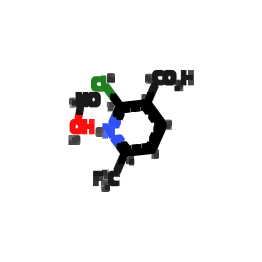 O=C(O)c1ccc(C(F)(F)F)nc1Cl.O=NO